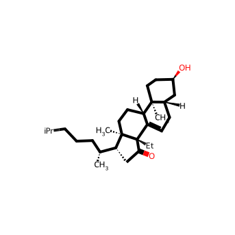 CC[C@@]12C(=O)C[C@H]([C@H](C)CCCC(C)C)[C@@]1(C)CC[C@H]1C2=CC[C@H]2C[C@H](O)CC[C@@]21C